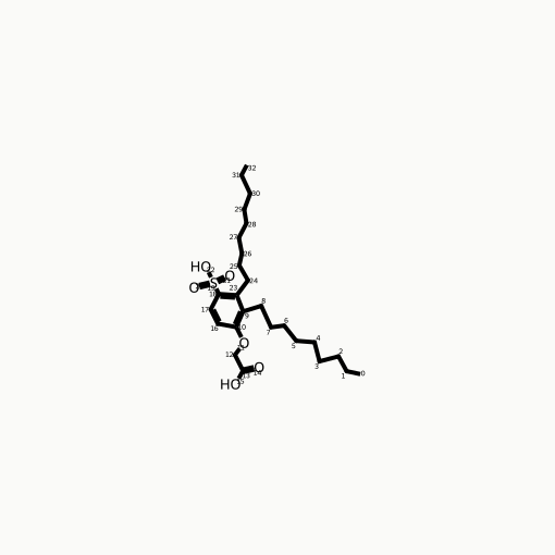 CCCCCCCCCc1c(OCC(=O)O)ccc(S(=O)(=O)O)c1CCCCCCCCC